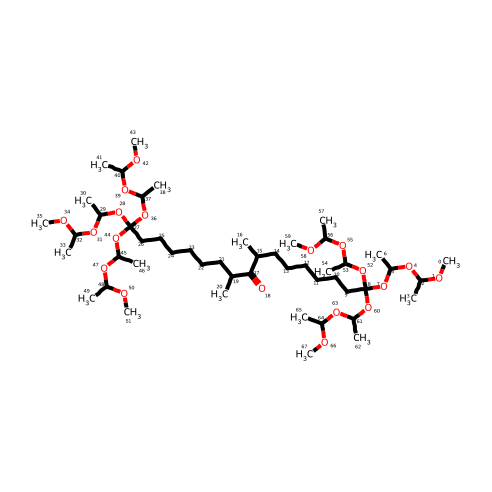 COC(C)OC(C)OC(CCCCCCC(C)C(=O)C(C)CCCCCCC(OC(C)OC(C)OC)(OC(C)OC(C)OC)OC(C)OC(C)OC)(OC(C)OC(C)OC)OC(C)OC(C)OC